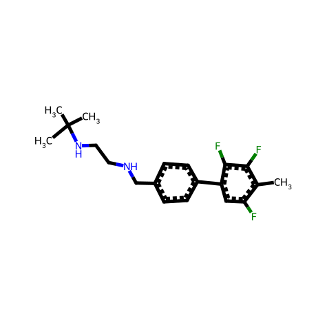 Cc1c(F)cc(-c2ccc(CNCCNC(C)(C)C)cc2)c(F)c1F